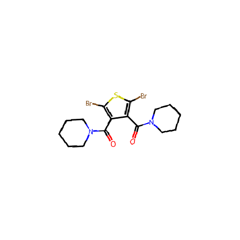 O=C(c1c(Br)sc(Br)c1C(=O)N1CCCCC1)N1CCCCC1